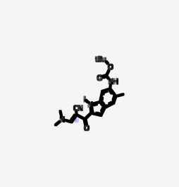 Cc1cc2cc(C(=O)/C(C#N)=C/N(C)C)n(I)c2cc1NC(=O)OC(C)(C)C